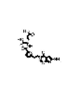 Nc1cc2c(O)n(CCc3ccc(C(=O)N[C@@H](CCC(=O)O)C(=O)O)s3)cnc-2n1